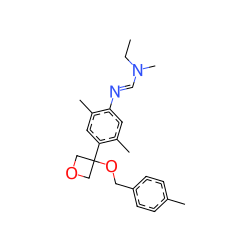 CCN(C)C=Nc1cc(C)c(C2(OCc3ccc(C)cc3)COC2)cc1C